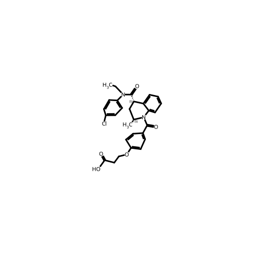 CCN(C(=O)[C@H]1C[C@H](C)N(C(=O)c2ccc(OCCC(=O)O)cc2)c2ccccc21)c1ccc(Cl)cc1